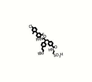 Cc1cc(Cl)ccc1-c1cc(F)c(NC(=O)C(Cc2ccc(C(=O)NCCS(=O)(=O)O)cc2)c2ccc(/C=C/C(C)(C)C)cc2)c(F)c1